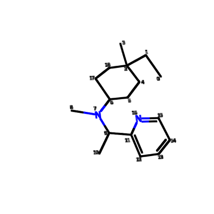 CCC1(C)CCC(N(C)C(C)c2ccccn2)CC1